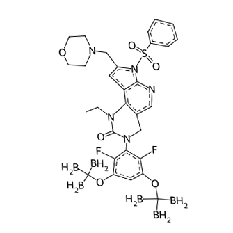 BC(B)(B)Oc1cc(OC(B)(B)B)c(F)c(N2Cc3cnc4c(cc(CN5CCOCC5)n4S(=O)(=O)c4ccccc4)c3N(CC)C2=O)c1F